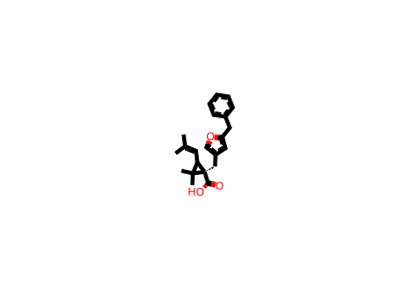 CC(C)=CC1C(C)(C)[C@]1(Cc1coc(Cc2ccccc2)c1)C(=O)O